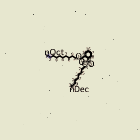 CCCCCCCC/C=C\CCCCCCCCOC(=O)c1ccccc1C(=O)OCCCCCCCCCCCCCCCCCC